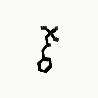 O=P(O)(O)CNCc1ccccc1